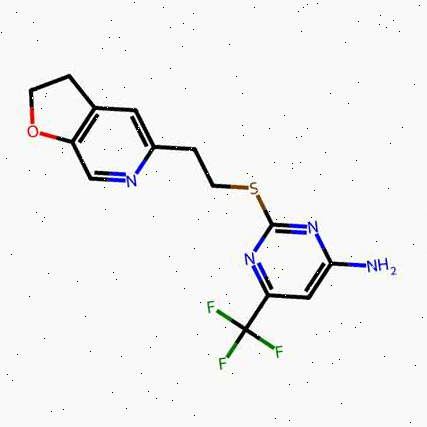 Nc1cc(C(F)(F)F)nc(SCCc2cc3c(cn2)OCC3)n1